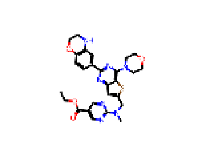 CCOC(=O)c1cnc(N(C)Cc2cc3nc(-c4ccc5c(c4)NCCO5)nc(N4CCOCC4)c3s2)nc1